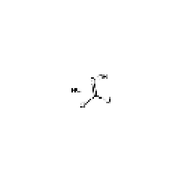 Cl.Cl.O=C(Cl)Cl